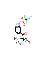 CC(C)(C)C(=O)c1cccc(NS(=O)(=O)C(F)(F)F)c1